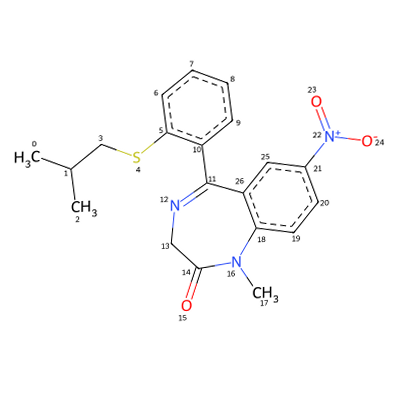 CC(C)CSc1ccccc1C1=NCC(=O)N(C)c2ccc([N+](=O)[O-])cc21